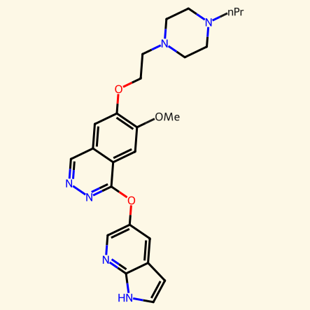 CCCN1CCN(CCOc2cc3cnnc(Oc4cnc5[nH]ccc5c4)c3cc2OC)CC1